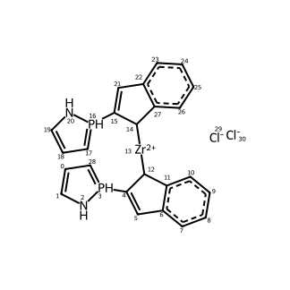 C1=CN[PH](C2=Cc3ccccc3[CH]2[Zr+2][CH]2C([PH]3=CC=CN3)=Cc3ccccc32)=C1.[Cl-].[Cl-]